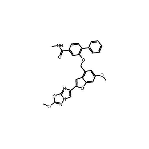 CNC(=O)c1ccc(-c2ccccc2)c(OCc2cc(OC)cc3oc(-c4cn5nc(OC)sc5n4)cc23)c1